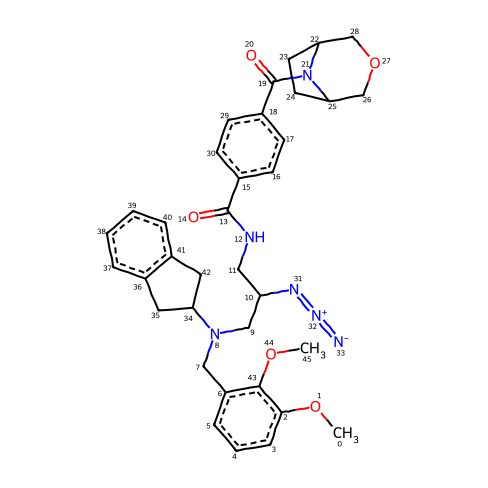 COc1cccc(CN(CC(CNC(=O)c2ccc(C(=O)N3C4CCC3COC4)cc2)N=[N+]=[N-])C2Cc3ccccc3C2)c1OC